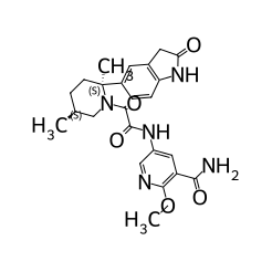 COc1ncc(NC(=O)C(=O)N2C[C@@H](C)CC[C@@]2(C)c2ccc3c(c2)CC(=O)N3)cc1C(N)=O